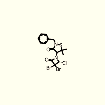 CC1(C)SN(Cc2ccccc2)C(=O)C1N1C(=O)C(Br)(Br)[C@H]1Cl